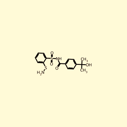 CC(C)(O)c1ccc(C(=O)NS(=O)(=O)c2ccccc2SN)cc1